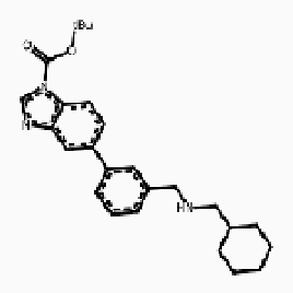 CC(C)(C)OC(=O)n1cnc2cc(-c3cccc(CNCC4CCCCC4)c3)ccc21